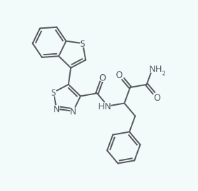 NC(=O)C(=O)C(Cc1ccccc1)NC(=O)c1nnsc1-c1csc2ccccc12